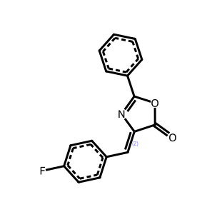 O=C1OC(c2ccccc2)=N/C1=C\c1ccc(F)cc1